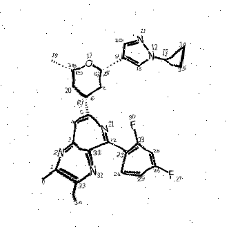 Cc1nc2cc([C@H]3C[C@@H](c4cnn(C5CC5)c4)O[C@@H](C)C3)nc(-c3ccc(F)cc3F)c2nc1C